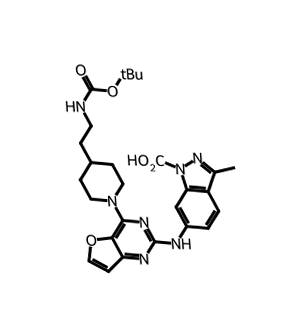 Cc1nn(C(=O)O)c2cc(Nc3nc(N4CCC(CCNC(=O)OC(C)(C)C)CC4)c4occc4n3)ccc12